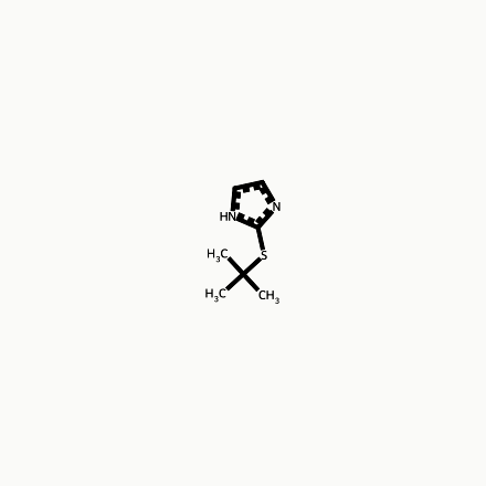 CC(C)(C)Sc1ncc[nH]1